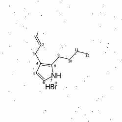 Br.C=CCc1cc[nH]c1CCCC